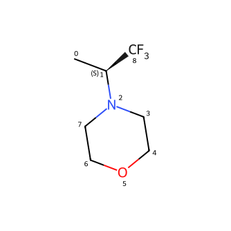 C[C@H](N1CCOCC1)C(F)(F)F